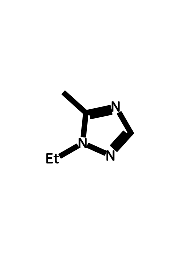 [CH2]Cn1ncnc1C